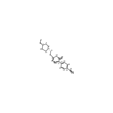 CC[C@H]1CC[C@H](CCC2=CN=C(c3ccc(C#N)cc3)N(F)C2)CC1